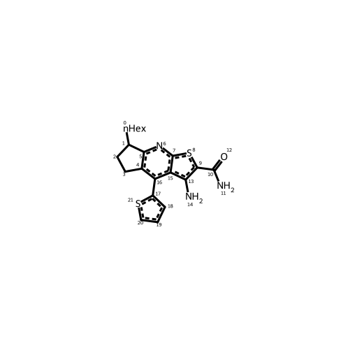 CCCCCCC1CCc2c1nc1sc(C(N)=O)c(N)c1c2-c1cccs1